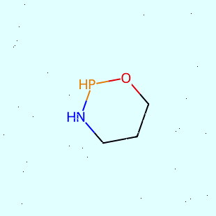 C1CNPOC1